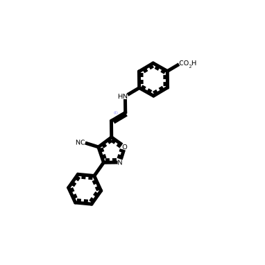 N#Cc1c(-c2ccccc2)noc1/C=C/Nc1ccc(C(=O)O)cc1